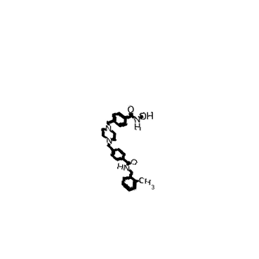 Cc1ccccc1CNC(=O)c1ccc(CN2CCN(Cc3ccc(C(=O)NO)cc3)CC2)cc1